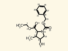 CCOC(=O)C1C(C)C(O)CN1C(=O)OCc1ccccc1